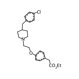 CCOC(=O)Cc1ccc(OCCN2CCC(Cc3ccc(Cl)cc3)CC2)cc1